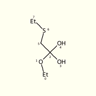 CCOC(O)(O)CSCC